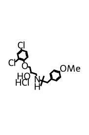 COc1ccc(CC(C)(C)NCC(O)COc2ccc(Cl)cc2Cl)cc1.Cl